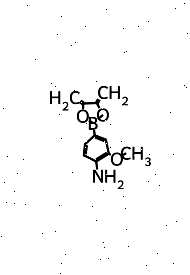 C=C1OB(c2ccc(N)c(OC)c2)OC1=C